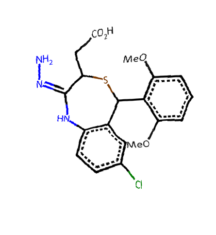 COc1cccc(OC)c1C1SC(CC(=O)O)/C(=N\N)Nc2ccc(Cl)cc21